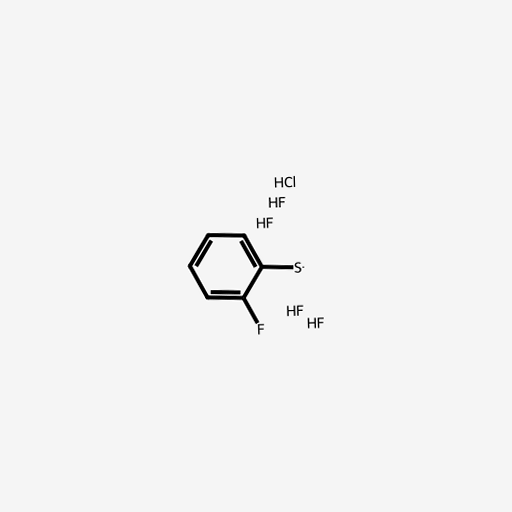 Cl.F.F.F.F.Fc1ccccc1[S]